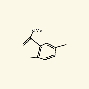 C=C(OC)c1cc(C)ccc1C